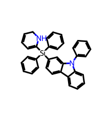 C1=CCNC([Si](c2ccccc2)(c2ccccc2)c2ccc3c4ccccc4n(-c4ccccc4)c3c2)=C1